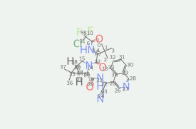 CC(C)(C)[C@H](NC(=O)C(F)(F)Cl)C(=O)N1C[C@H]2[C@@H]([C@H]1C(=O)NC(C#N)c1cncc3ccccc13)C2(C)C